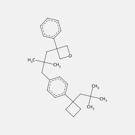 CC(C)(C)CC1(c2ccc(CC(C)(C)CC3(c4ccccc4)COC3)cc2)CCC1